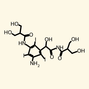 Nc1c(I)c(NC(=O)C(CO)CO)c(I)c(C(O)C(=O)NC(=O)C(CO)CO)c1I